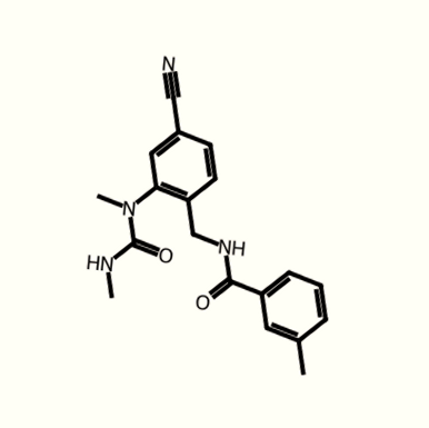 CNC(=O)N(C)c1cc(C#N)ccc1CNC(=O)c1cccc(C)c1